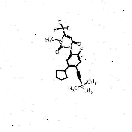 Cn1c(C(F)(F)F)cc(=O)n(-c2cc(C3CCCC3)c(C#C[Si](C)(C)C)cc2F)c1=O